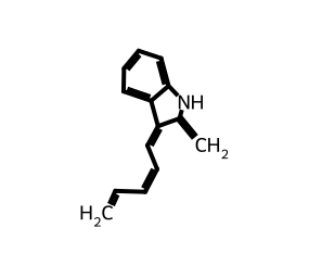 C=C/C=C\C=c1/c(=C)[nH]c2ccccc12